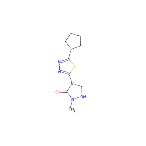 CN1NCN(c2nnc(C3CCCC3)s2)C1=O